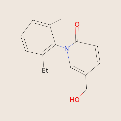 CCc1cccc(C)c1-n1cc(CO)ccc1=O